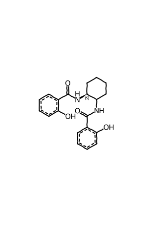 O=C(NC1CCCC[C@@H]1NC(=O)c1ccccc1O)c1ccccc1O